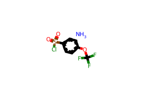 N.O=S(=O)(Cl)c1ccc(OC(F)(F)F)cc1